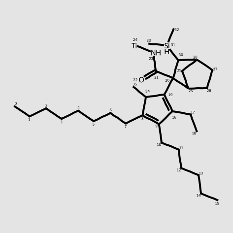 CCCCCCCCC1=C(CCCCCC)C(CC)=C(C2(C(=O)[NH][Ti])C3CCC(C3)C2[SiH](C)C)C1C